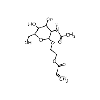 C=CC(=O)OCCOC1OC(CO)C(O)C(O)C1NC(C)=O